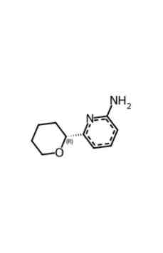 Nc1cccc([C@H]2CCCCO2)n1